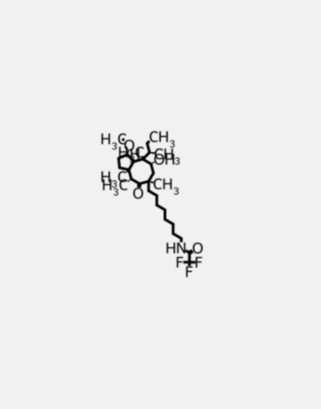 CC[C@@H](C)[C@@]1(C)[C@H](O)C[C@](C)(CCCCCCCCNC(=O)C(F)(F)F)C(=O)[C@H](C)[C@]2(C)CC[C@@H](OC)[C@H]21